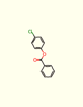 O=C(Oc1ccc(Cl)cc1)c1[c]cccc1